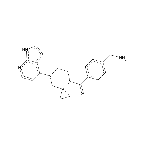 NCc1ccc(C(=O)N2CCN(c3ccnc4[nH]ccc34)CC23CC3)cc1